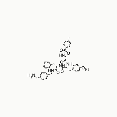 CCOc1ccc(C[C@@H](NC(=O)CNS(=O)(=O)c2ccc(C)cc2)C(=O)N[C@@H](Cc2ccccc2)C(=O)NCc2ccc(CN)cc2)cc1